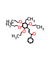 CCCOc1c(C=CC(=O)c2ccccc2)c(OCCC)c(OCCC)c(OCCC)c1CC